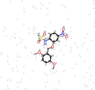 COc1ccc(OC)c(COc2cc([N+](=O)[O-])ccc2NS(C)(=O)=O)c1